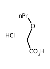 CCCOCC(=O)O.Cl